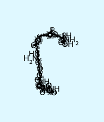 N/C(=C\NCCCC(=O)N1CCN(CC#Cc2ccc(OCCC/C(S)=C(/N)C(=O)O)c(F)c2)CC1)COCCOCCOCC(=O)Nc1cccc2c1CN(C1CCC(=O)NC1=O)C2=O